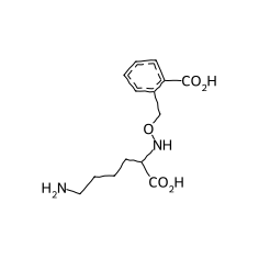 NCCCCC(NOCc1ccccc1C(=O)O)C(=O)O